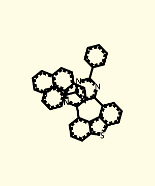 c1ccc(-c2nc(-c3ccccc3)nc(-c3cccc4sc5cccc(-c6ccc7ccc8cccnc8c7n6)c5c34)n2)cc1